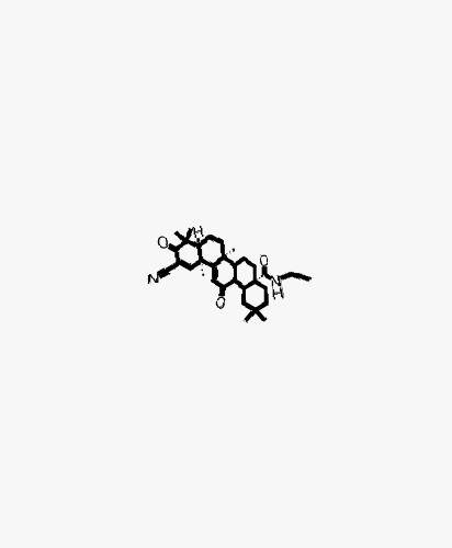 CCNC(=O)[C@@]12CCC3C(C(=O)C=C4[C@@]3(C)CC[C@H]3C(C)(C)C(=O)C(C#N)=C[C@]43C)C1CC(C)(C)CC2